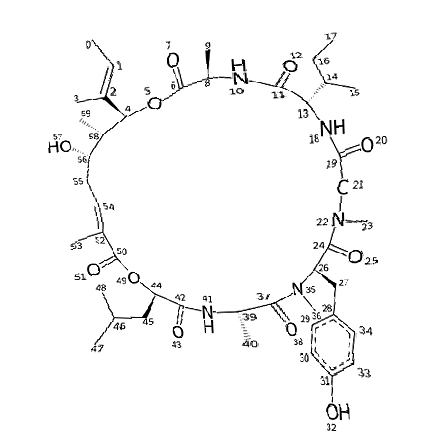 C/C=C(\C)[C@H]1OC(=O)[C@@H](C)NC(=O)[C@H](C(C)CC)NC(=O)CN(C)C(=O)[C@@H](Cc2ccc(O)cc2)N(C)C(=O)[C@H](C)NC(=O)[C@@H](CC(C)C)OC(=O)/C(C)=C/C[C@H](O)[C@@H]1C